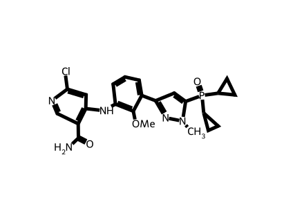 COc1c(Nc2cc(Cl)ncc2C(N)=O)cccc1-c1cc(P(=O)(C2CC2)C2CC2)n(C)n1